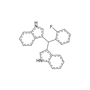 Fc1ccccc1C(c1c[nH]c2ccccc12)c1c[nH]c2ccccc12